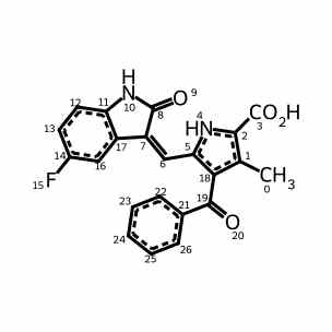 Cc1c(C(=O)O)[nH]c(C=C2C(=O)Nc3ccc(F)cc32)c1C(=O)c1ccccc1